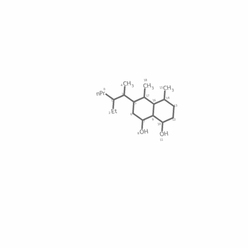 CCCC(CC)C(C)C1CC(O)C2C(O)CCC(C)C2C1C